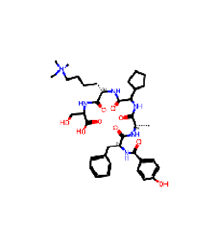 C[C@H](NC(=O)[C@H](Cc1ccccc1)NC(=O)c1ccc(O)cc1)C(=O)NC(C(=O)N[C@@H](CCCC[N+](C)(C)C)C(=O)NC(CO)C(=O)O)C1CCCC1